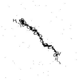 CC(=O)NCCCCOCCOCCOCCOCCOCCOCCOCCOS(C)(=O)=O